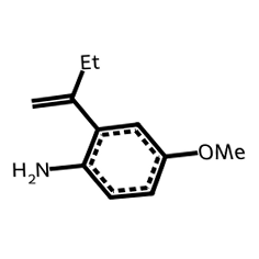 C=C(CC)c1cc(OC)ccc1N